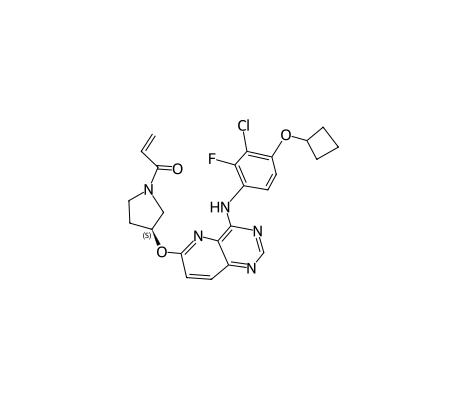 C=CC(=O)N1CC[C@H](Oc2ccc3ncnc(Nc4ccc(OC5CCC5)c(Cl)c4F)c3n2)C1